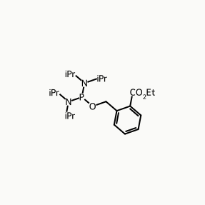 CCOC(=O)c1ccccc1COP(N(C(C)C)C(C)C)N(C(C)C)C(C)C